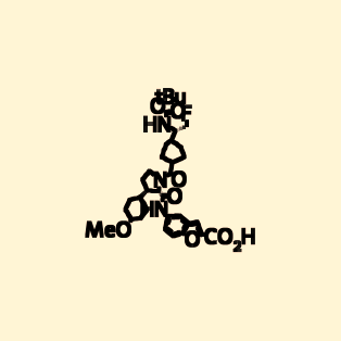 COC1CCC([C@H]2CCN(C(=O)C3CCC([C@@H](CF)NC(=O)OC(C)(C)C)CC3)[C@@H]2C(=O)Nc2ccc3oc(C(=O)O)cc3c2)CC1